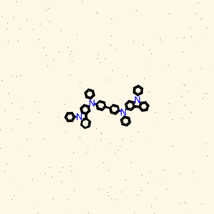 C1=C=C(N(c2ccccc2)c2ccc3c(c2)c2c(n3-c3ccccc3)CCC=C2)C=CC=1C1=C=C=C(N(c2ccccc2)c2ccc3c(c2)c2ccccc2n3-c2ccccc2)C=C1